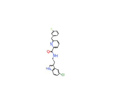 O=C(NCCc1c[nH]c2ccc(Cl)cc12)c1cccc(Cc2cccc(F)c2)n1